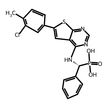 Cc1ccc(-c2cc3c(N[C@@H](c4ccccc4)P(=O)(O)O)ncnc3s2)cc1Cl